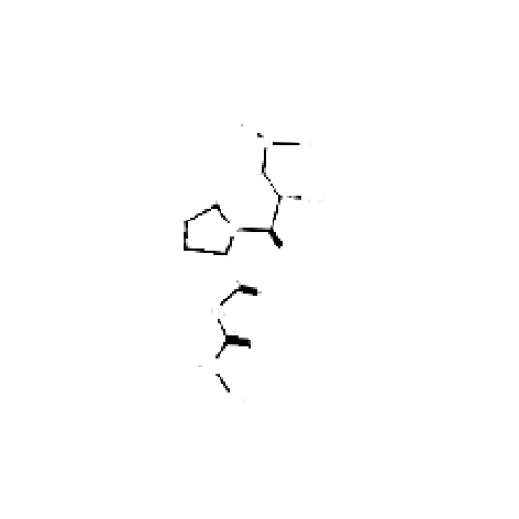 CCCCC[C@H](CN(O)C=O)C(=O)N1CCC[C@H]1C(=O)NC(=O)OC(C)(C)C